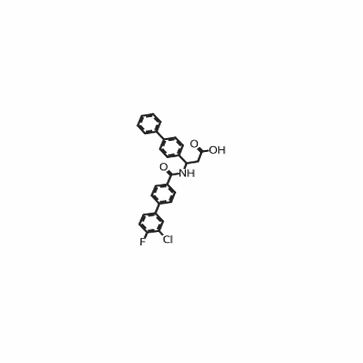 O=C(O)CC(NC(=O)c1ccc(-c2ccc(F)c(Cl)c2)cc1)c1ccc(-c2ccccc2)cc1